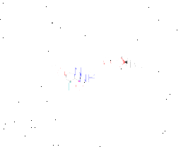 CC(C)(C)[Si](C)(C)OCCO[C@H]1CC[C@H](SCc2nc3cc(OCC4CC4)cc(F)c3c(=O)[nH]2)CC1